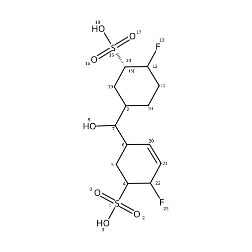 O=S(=O)(O)C1CC(C(O)C2CCC(F)[C@@H](S(=O)(=O)O)C2)C=CC1F